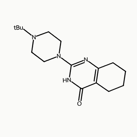 CC(C)(C)N1CCN(c2nc3c(c(=O)[nH]2)CCCC3)CC1